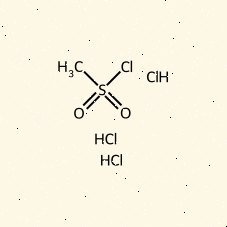 CS(=O)(=O)Cl.Cl.Cl.Cl